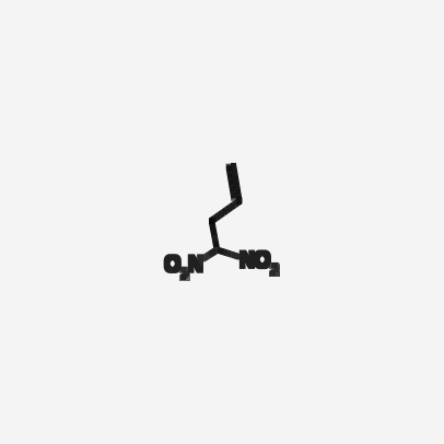 C=CCC([N+](=O)[O-])[N+](=O)[O-]